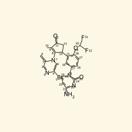 C=C1C=NC(Br)=CN1C1=C(C)C(=O)CC1c1cc(-n2ccc(N)nc2=O)ccc1OC(F)F